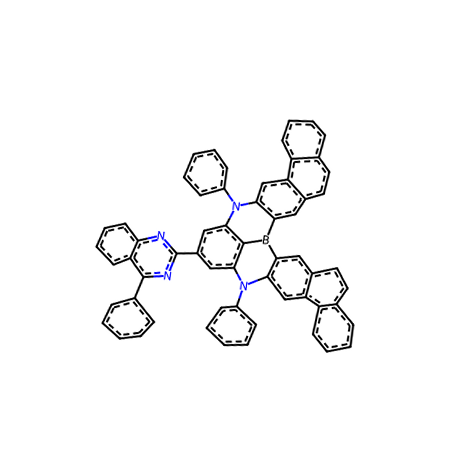 c1ccc(-c2nc(-c3cc4c5c(c3)N(c3ccccc3)c3cc6c(ccc7ccccc76)cc3B5c3cc5ccc6ccccc6c5cc3N4c3ccccc3)nc3ccccc23)cc1